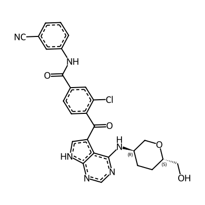 N#Cc1cccc(NC(=O)c2ccc(C(=O)c3c[nH]c4ncnc(N[C@@H]5CC[C@@H](CO)OC5)c34)c(Cl)c2)c1